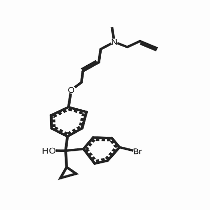 C=CCN(C)C/C=C/COc1ccc(C(O)(c2ccc(Br)cc2)C2CC2)cc1